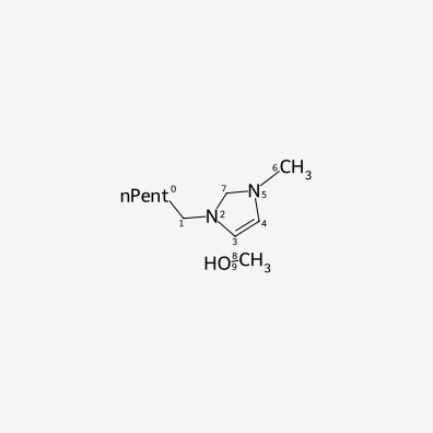 CCCCCCN1C=CN(C)C1.CO